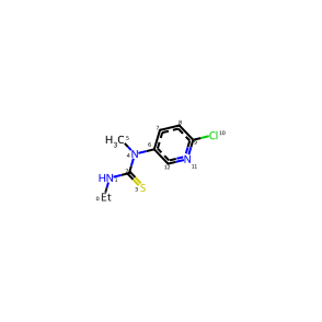 CCNC(=S)N(C)c1ccc(Cl)nc1